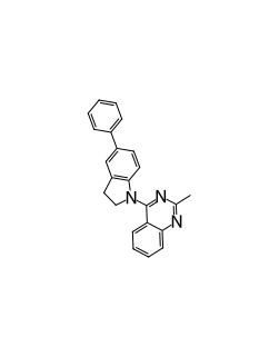 Cc1nc(N2CCc3cc(-c4ccccc4)ccc32)c2ccccc2n1